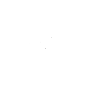 [CH2]c1cc(Br)no1